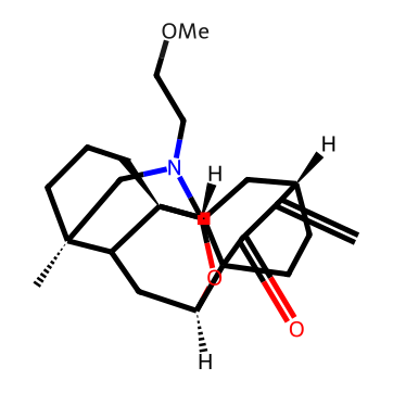 C=C1C(=O)C23CC[C@H]1CC2[C@@]12CCC[C@@]4(C)CN(CCOC)[C@@H]1O[C@@H]3CC42